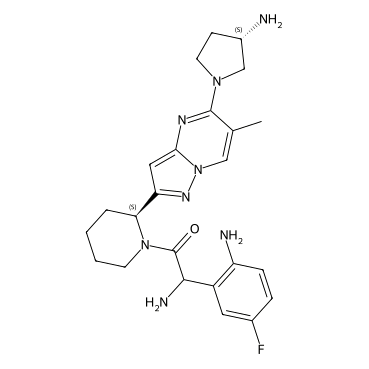 Cc1cn2nc([C@@H]3CCCCN3C(=O)C(N)c3cc(F)ccc3N)cc2nc1N1CC[C@H](N)C1